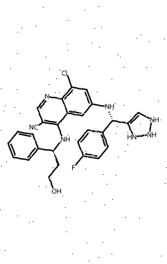 N#Cc1cnc2c(Cl)cc(N[C@H](C3=CNNN3)c3ccc(F)cc3)cc2c1N[C@@H](CCO)c1ccccc1